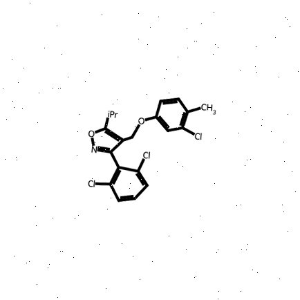 Cc1ccc(OCc2c(-c3c(Cl)cccc3Cl)noc2C(C)C)cc1Cl